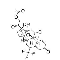 CC(=O)OCC(=O)[C@@]1(O)CC[C@H]2[C@@H]3CC(C(F)(F)F)C4=CC(=O)C=C[C@]4(C)[C@@]3(Cl)C(Cl)C[C@@]21C